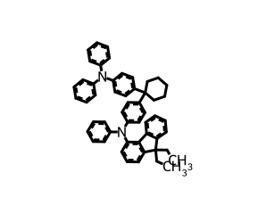 CCC1(CC)c2ccccc2-c2c(N(c3ccccc3)c3ccc(C4(c5ccc(N(c6ccccc6)c6ccccc6)cc5)CCCCC4)cc3)cccc21